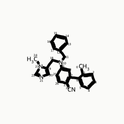 Cc1ccccc1-c1cc(N(Cc2ccccc2)Cc2cncn2C)ccc1C#N